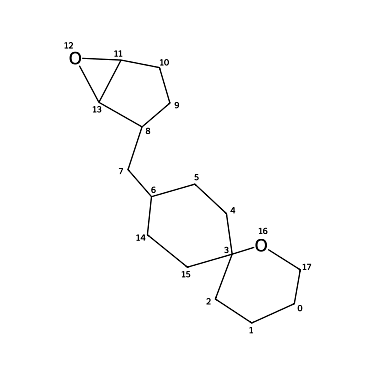 C1CCC2(CCC(CC3CCC4OC34)CC2)OC1